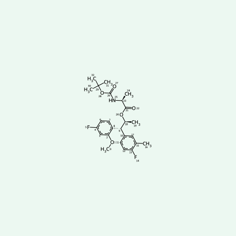 COc1cc(F)ccc1[C@@H](c1ccc(F)c(C)c1)[C@H](C)OC(=O)[C@H](C)NC(=O)OC(C)(C)C